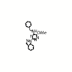 COc1nnc(-n2ncc3ccccc32)nc1NCc1ccccc1